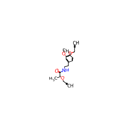 C#CCOc1ccc(CCNC(=O)C(C)OCC#C)cc1OC